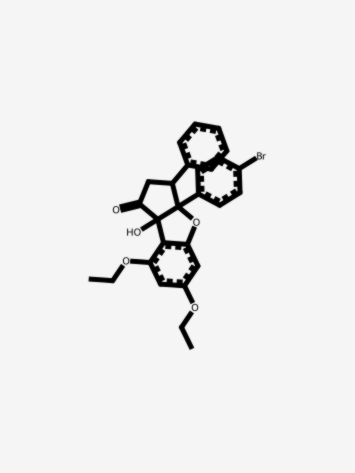 CCOc1cc(OCC)c2c(c1)OC1(c3ccc(Br)cc3)C(c3ccccc3)CC(=O)C21O